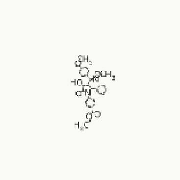 CCOC(=O)c1ccc(N2C(=O)C(O)=C(C(=NOC)c3ccc(OC)cc3)C2c2ccccc2)cc1